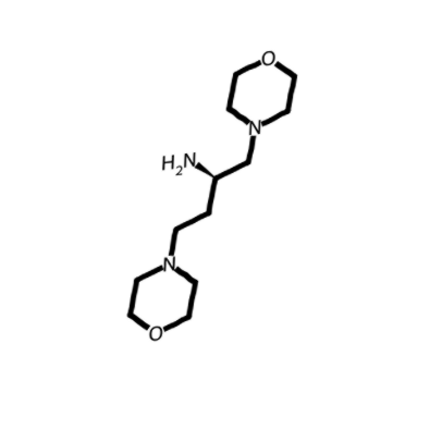 N[C@H](CCN1CCOCC1)CN1CCOCC1